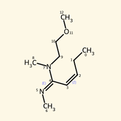 CC/C=C\C(=N/C)N(C)CCOC